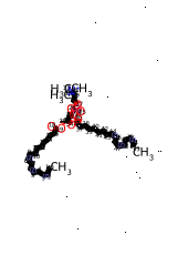 CC/C=C\C/C=C\C/C=C\CCCCCCCC(=O)OC[C@H](COP(=O)([O-])OCC[N+](C)(C)C)OC(=O)CCCCCCC/C=C\C/C=C\C/C=C\CC